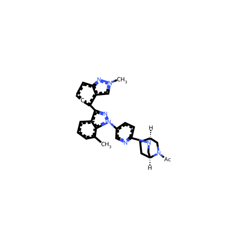 CC(=O)N1C[C@@H]2CC[C@H]1CN2c1ccc(-n2nc(-c3cccc4nn(C)cc34)c3cccc(C)c32)cn1